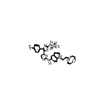 CCS(=O)(=O)Nc1nc(-c2ccc(F)cc2)c(-c2ccnc(Nc3ccc4c(ccn4CCN4CCOCC4)c3)n2)s1